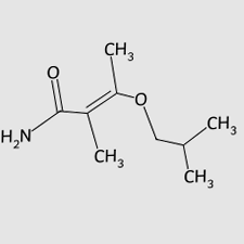 CC(OCC(C)C)=C(C)C(N)=O